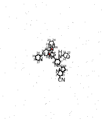 N#Cc1cnn2c(-c3cc(NC4CCOC4)c(-c4nnc(N5CC6CCC(C5)N6CC5CCN(c6ccccn6)CC5)s4)cn3)ccc2c1